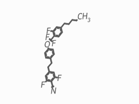 CCCCCc1ccc(C(F)(F)Oc2ccc(CCc3cc(F)c(C#N)c(F)c3)cc2)c(F)c1